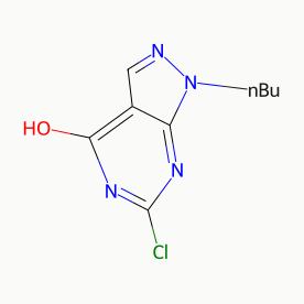 CCCCn1ncc2c(O)nc(Cl)nc21